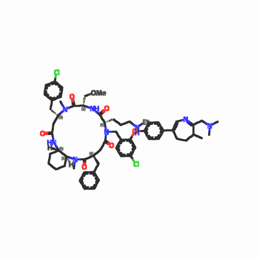 CCNCCC[C@H]1C(=O)N[C@@H](COC)C(=O)N(C)[C@@H](Cc2ccc(Cl)cc2)CC(=O)N[C@H]2CCCC[C@@H]2N(C)C(=O)[C@H](Cc2ccccc2)CC(=O)N1Cc1ccc(Cl)cc1Oc1ccc(C2=CN=C(CN(C)C)C(C)CC2)cc1